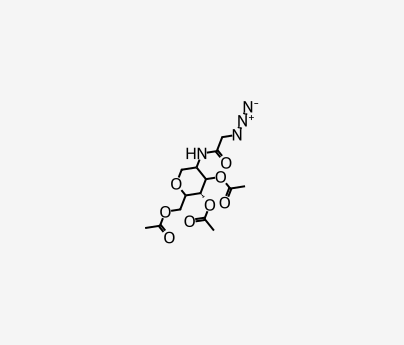 CC(=O)OCC1OCC(NC(=O)CN=[N+]=[N-])C(OC(C)=O)[C@@H]1OC(C)=O